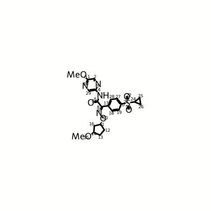 COc1cnc(NC(=O)/C(=N/O[C@@H]2CC[C@@H](OC)C2)c2ccc(S(=O)(=O)C3CC3)cc2)cn1